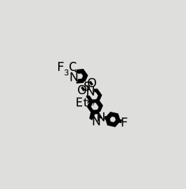 CC[C@]12Cc3cnn(-c4ccc(F)cc4)c3C=C1CCN(S(=O)(=O)c1ccc(C(F)(F)F)nc1)C2